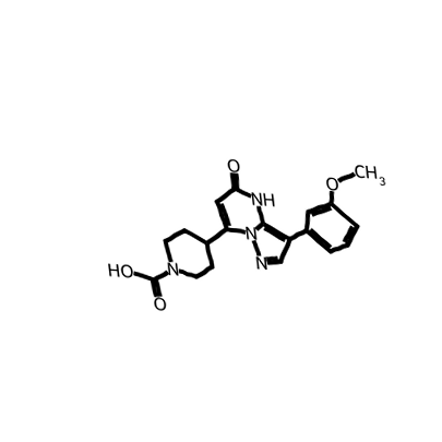 COc1cccc(-c2cnn3c(C4CCN(C(=O)O)CC4)cc(=O)[nH]c23)c1